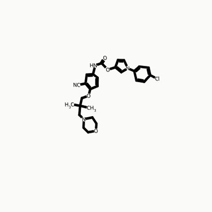 CC(C)(COc1ccc(NC(=O)Oc2ccn(-c3ccc(Cl)cc3)c2)cc1C#N)CN1CCOCC1